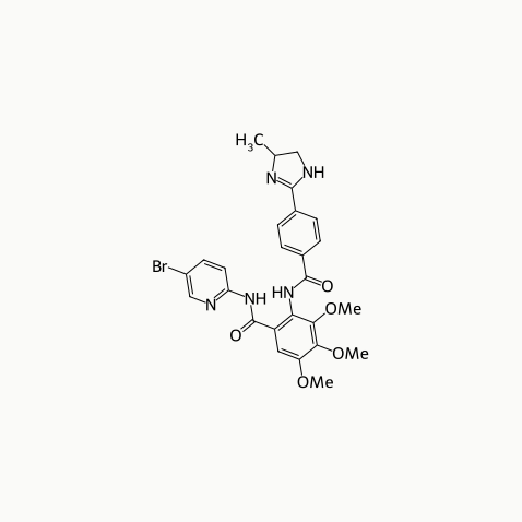 COc1cc(C(=O)Nc2ccc(Br)cn2)c(NC(=O)c2ccc(C3=NC(C)CN3)cc2)c(OC)c1OC